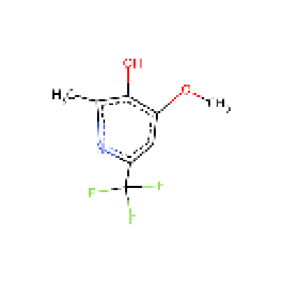 COc1cc(C(F)(F)F)nc(C)c1O